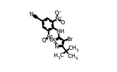 CC(C)(C)c1nsc(Nc2c([N+](=O)[O-])cc(C#N)cc2[N+](=O)[O-])c1Br